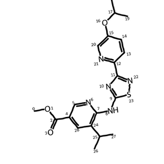 COC(=O)c1cnc(Nc2nc(-c3ccc(OC(C)C)cn3)ns2)c(C(C)C)c1